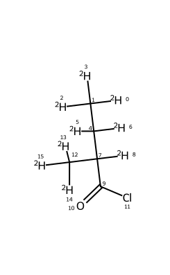 [2H]C([2H])([2H])C([2H])([2H])C([2H])(C(=O)Cl)C([2H])([2H])[2H]